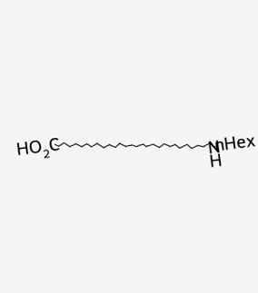 CCCCCCNCCCCCCCCCCCCCCCCCCCCCCCCCCCCC(=O)O